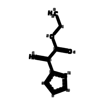 CCOC(=O)C(=N)c1cccs1